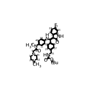 CN1CCN(CC(=O)N(C)c2ccc(NC(=C3C(=O)Nc4cc(F)ccc43)c3ccc(CNC(=O)OC(C)(C)C)cc3)cc2)CC1